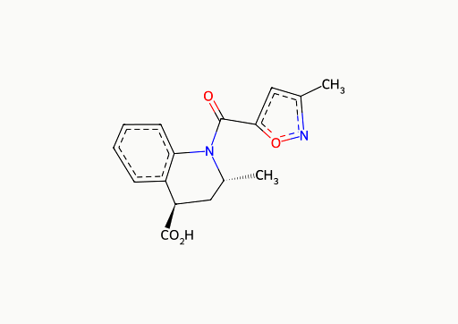 Cc1cc(C(=O)N2c3ccccc3[C@H](C(=O)O)C[C@H]2C)on1